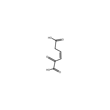 O=C(O)C/C=C\C(=O)C(=O)O